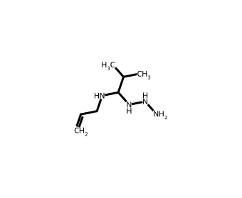 C=CCNC(NNN)C(C)C